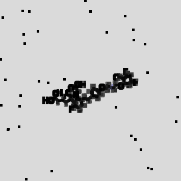 Cc1c(CCCC(=O)O)c2c(F)ccc(C=Cc3ccc(OC/C=C/COc4cc(F)cc(F)c4Cl)cc3)c2n1CC(=O)O